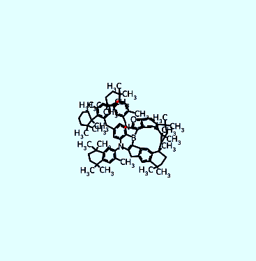 Cc1cc(C)c(C2(C)CCCCC2(C)C)c(Cc2cc3c4c(c2)N(c2cc5c(cc2C)C(C)(C)CCC5(C)C)c2oc5cc6c7cc5c2B4C2=C(Cc4cc5c(cc42)C(C)(CCC5(C)C)C(CC6(C)C)C7(C)C)N3c2cc3c(cc2C)C(C)(C)CCC3(C)C)c1